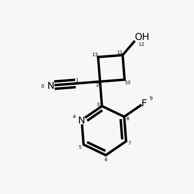 N#CC1(c2ncccc2F)CC(O)C1